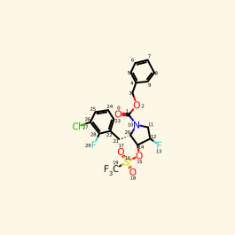 O=C(OCc1ccccc1)N1CC(F)C(OS(=O)(=O)C(F)(F)F)[C@@H]1Cc1cccc(Cl)c1F